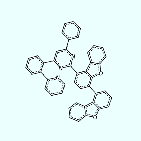 c1ccc(-c2cc(-c3ccccc3-c3ccccn3)nc(-c3ccc(-c4cccc5oc6ccccc6c45)c4oc5ccccc5c34)n2)cc1